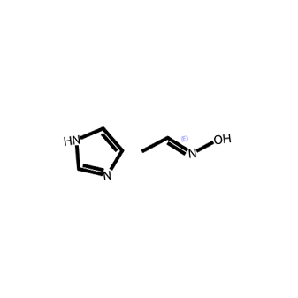 C/C=N/O.c1c[nH]cn1